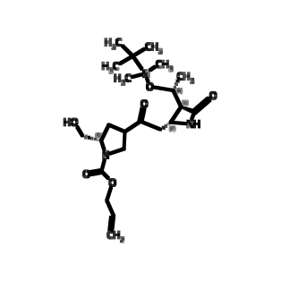 C=CCOC(=O)N1CC(C(=O)C[C@H]2NC(=O)[C@@H]2[C@@H](C)O[Si](C)(C)C(C)(C)C)C[C@H]1CO